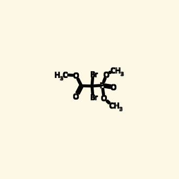 COC(=O)C(Br)(Br)P(=O)(OC)OC